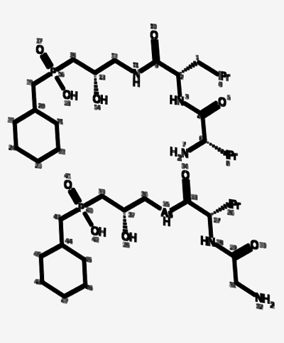 CC(C)C[C@H](NC(=O)[C@@H](N)C(C)C)C(=O)NC[C@H](O)CP(=O)(O)CC1CCCCC1.CC(C)[C@H](NC(=O)CN)C(=O)[AsH]C[C@H](O)CP(=O)(O)CC1CCCCC1